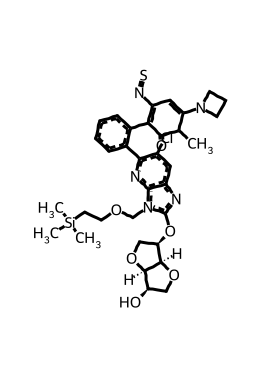 CC1C(=O)C(c2ccccc2-c2nc3c(cc2Cl)nc(O[C@@H]2CO[C@H]4[C@@H]2OC[C@H]4O)n3COCC[Si](C)(C)C)=C(N=S)C=C1N1CCC1